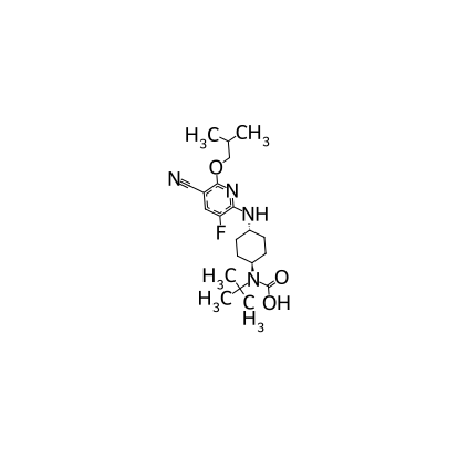 CC(C)COc1nc(N[C@H]2CC[C@H](N(C(=O)O)C(C)(C)C)CC2)c(F)cc1C#N